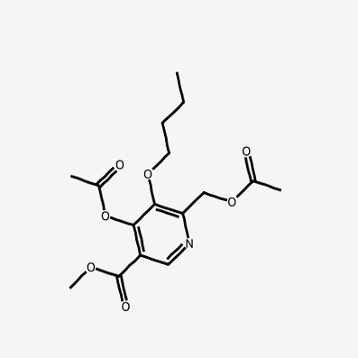 CCCCOc1c(COC(C)=O)ncc(C(=O)OC)c1OC(C)=O